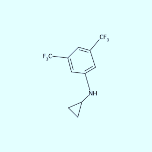 FC(F)(F)c1cc(NC2CC2)cc(C(F)(F)F)c1